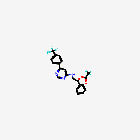 O=C(OC(CNc1cc(-c2ccc(C(F)(F)F)cc2)ncn1)c1ccccc1)C(F)(F)F